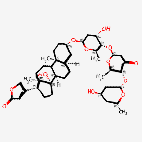 C[C@@H]1C[C@@H](O)C[C@H](O[C@H]2C(=O)C[C@H](O[C@H]3[C@@H](O)C[C@H](O[C@H]4CC[C@]5(C)C6CC[C@]7(C)[C@@H](C8=CC(=O)OC8)CC[C@]7(O)[C@@H]6CC[C@@H]5C4)O[C@@H]3C)O[C@@H]2C)O1